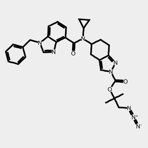 CC(C)(CN=[N+]=[N-])OC(=O)n1cc2c(n1)CCC(N(C(=O)c1cccc3c1ncn3Cc1ccccc1)C1CC1)C2